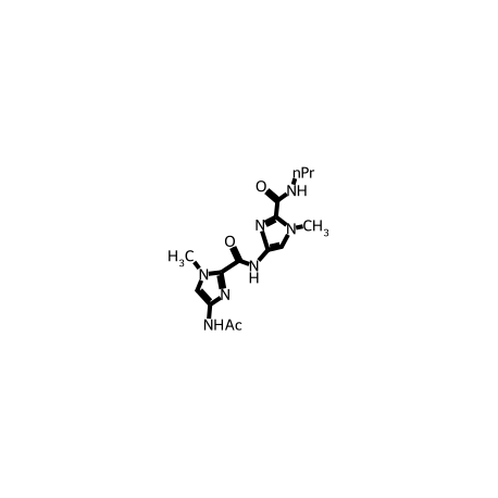 CCCNC(=O)c1nc(NC(=O)c2nc(NC(C)=O)cn2C)cn1C